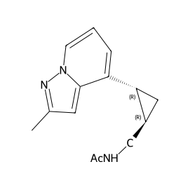 CC(=O)NC[C@@H]1C[C@H]1c1cccn2nc(C)cc12